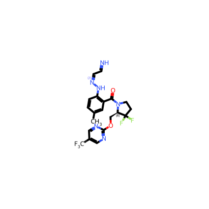 Cc1ccc(N/N=C\C=N)c(C(=O)N2CCC(F)(F)[C@H]2COc2ncc(C(F)(F)F)cn2)c1